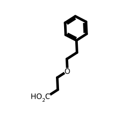 O=C(O)CCOCCc1ccccc1